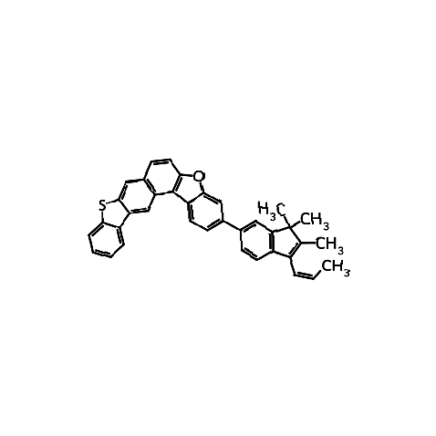 C/C=C\C1=C(C)C(C)(C)c2cc(-c3ccc4c(c3)oc3ccc5cc6sc7ccccc7c6cc5c34)ccc21